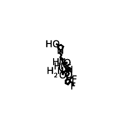 NC(=O)c1c(OCc2cccc(CF)c2CF)nsc1NC(=O)NCCCCN1CCCC(O)C1